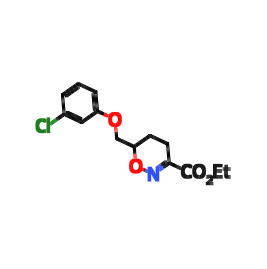 CCOC(=O)C1=NOC(COc2cccc(Cl)c2)CC1